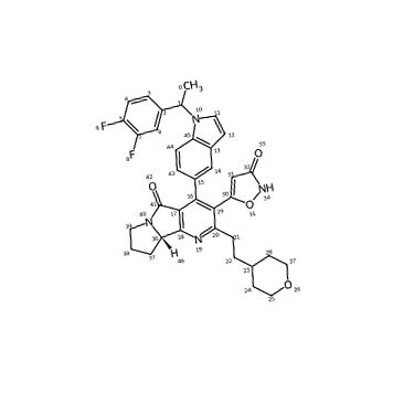 CC(c1ccc(F)c(F)c1)n1ccc2cc(-c3c4c(nc(CCC5CCOCC5)c3-c3cc(=O)[nH]o3)[C@@H]3CCCN3C4=O)ccc21